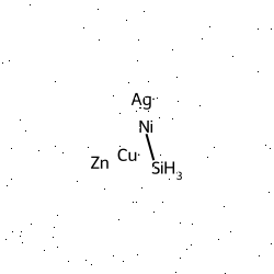 [Ag].[Cu].[SiH3][Ni].[Zn]